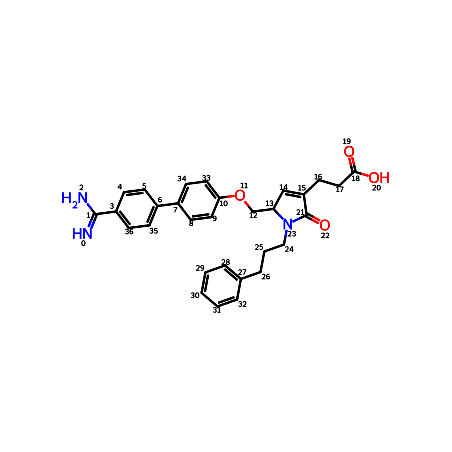 N=C(N)c1ccc(-c2ccc(OCC3C=C(CCC(=O)O)C(=O)N3CCCc3ccccc3)cc2)cc1